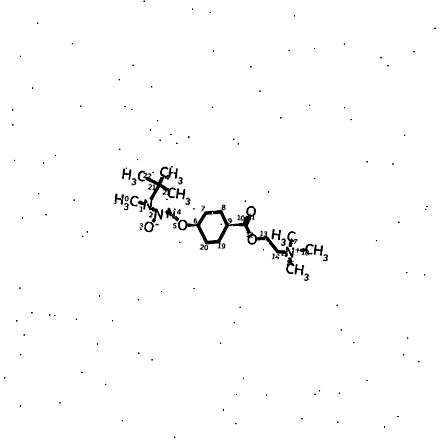 CN(/[N+]([O-])=N/O[C@H]1CC[C@@H](C(=O)OCC[N+](C)(C)C)CC1)C(C)(C)C